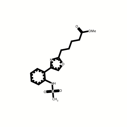 COC(=O)CCCCc1nc(-c2ccccc2NS(C)(=O)=O)co1